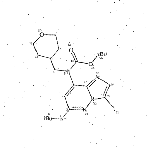 CC(C)(C)Nc1cc(N(CC2CCOCC2)C(=O)OC(C)(C)C)c2ncc(I)n2n1